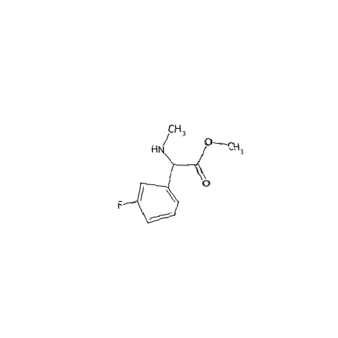 CNC(C(=O)OC)c1cccc(F)c1